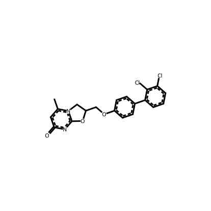 Cc1cc(=O)nc2n1CC(COc1ccc(-c3cccc(Cl)c3Cl)cc1)O2